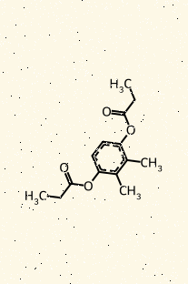 CCC(=O)Oc1ccc(OC(=O)CC)c(C)c1C